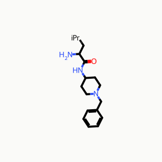 CC(C)CC(N)C(=O)NC1CCN(Cc2ccccc2)CC1